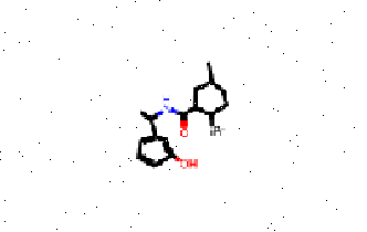 CC1CCC(C(C)C)C(C(=O)NC(C)c2cccc(O)c2)C1